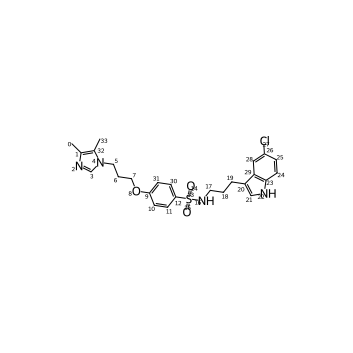 Cc1ncn(CCCOc2ccc(S(=O)(=O)NCCCc3c[nH]c4ccc(Cl)cc34)cc2)c1C